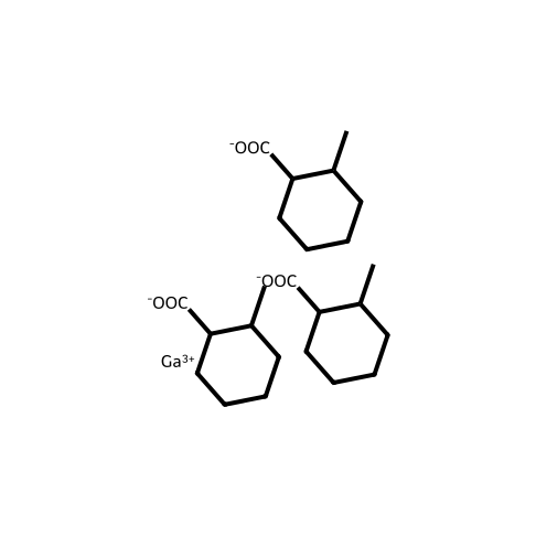 CC1CCCCC1C(=O)[O-].CC1CCCCC1C(=O)[O-].CC1CCCCC1C(=O)[O-].[Ga+3]